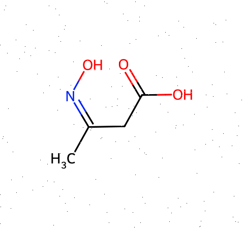 CC(CC(=O)O)=NO